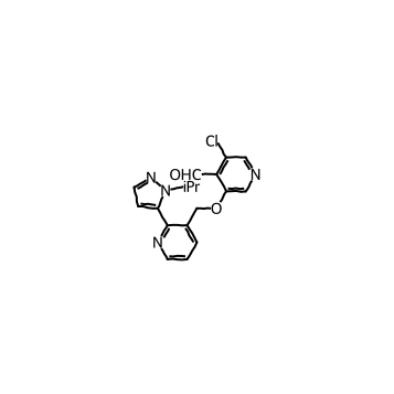 CC(C)n1nccc1-c1ncccc1COc1cncc(Cl)c1C=O